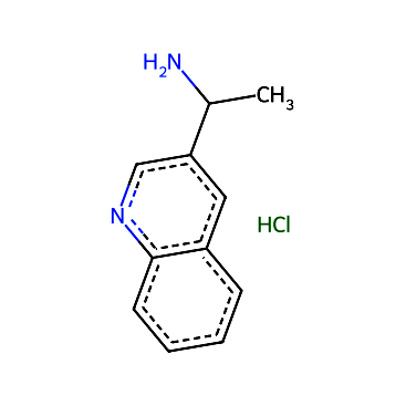 CC(N)c1cnc2ccccc2c1.Cl